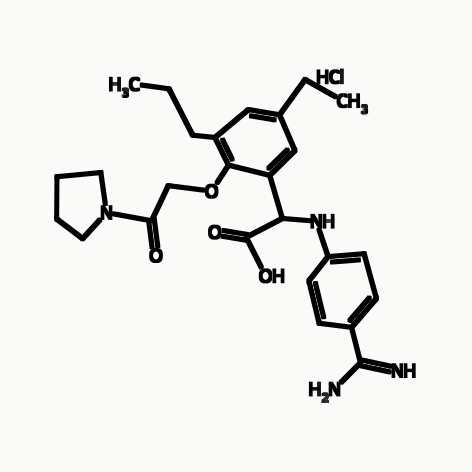 CCCc1cc(CC)cc(C(Nc2ccc(C(=N)N)cc2)C(=O)O)c1OCC(=O)N1CCCC1.Cl